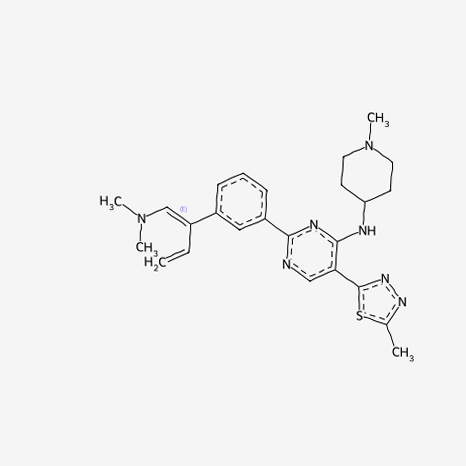 C=C/C(=C\N(C)C)c1cccc(-c2ncc(-c3nnc(C)s3)c(NC3CCN(C)CC3)n2)c1